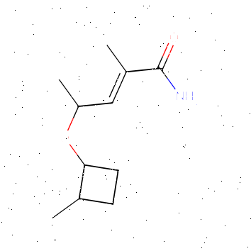 C/C(=C\C(C)OC1CCC1C)C(N)=O